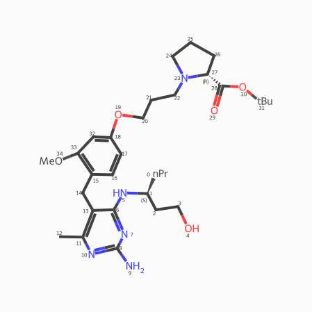 CCC[C@@H](CCO)Nc1nc(N)nc(C)c1Cc1ccc(OCCCN2CCC[C@@H]2C(=O)OC(C)(C)C)cc1OC